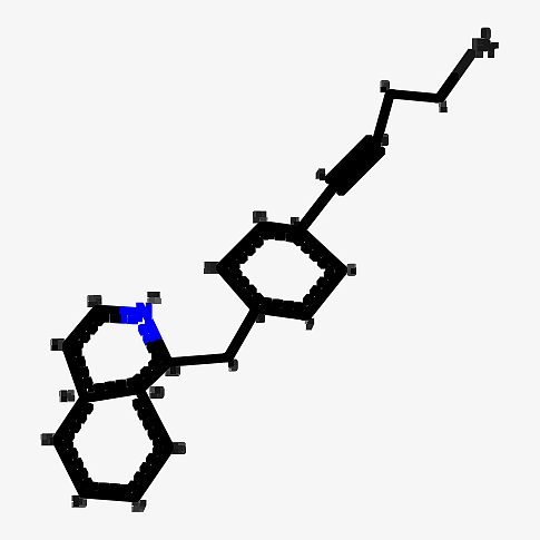 CC(C)CCC#Cc1ccc(Cc2nccc3ccccc23)cc1